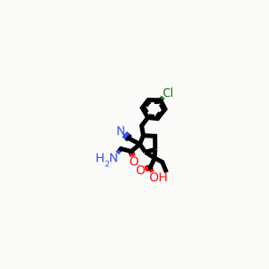 CCC1(C(=O)O)C2CC(Cc3ccc(Cl)cc3)C(C#N)(C(=O)CN)C21